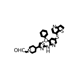 O=CCN1CCC(c2csc(Nc3ncc(Sc4ccnc5ccsc45)cc3Oc3ccccc3)n2)CC1